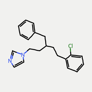 Clc1ccccc1CCC(CCn1ccnc1)Cc1ccccc1